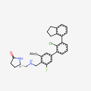 COc1cc(-c2cccc(-c3cccc4c3CCC4)c2Cl)cc(F)c1CNC[C@@H]1CCC(=O)N1